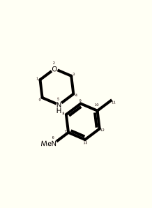 C1COCCN1.CNc1ccc(C)cc1